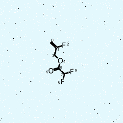 C=C(F)COC(=O)C(F)F